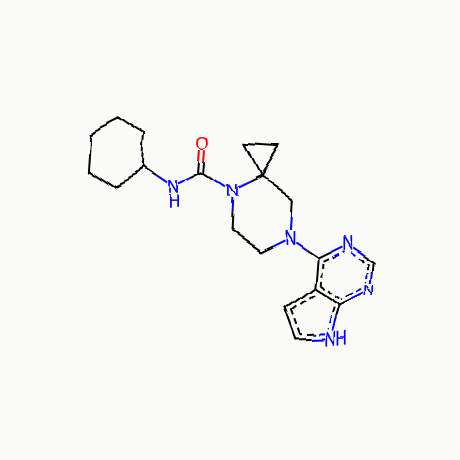 O=C(NC1CCCCC1)N1CCN(c2ncnc3[nH]ccc23)CC12CC2